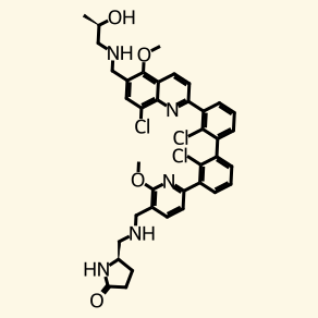 COc1nc(-c2cccc(-c3cccc(-c4ccc5c(OC)c(CNC[C@@H](C)O)cc(Cl)c5n4)c3Cl)c2Cl)ccc1CNC[C@H]1CCC(=O)N1